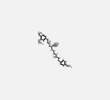 COc1ccc(CCNCCCCCCNCCc2ccc(N)cc2)cc1OC.Cl.Cl.Cl